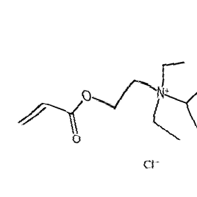 C=CC(=O)OCC[N+](CC)(CC)C(C)C.[Cl-]